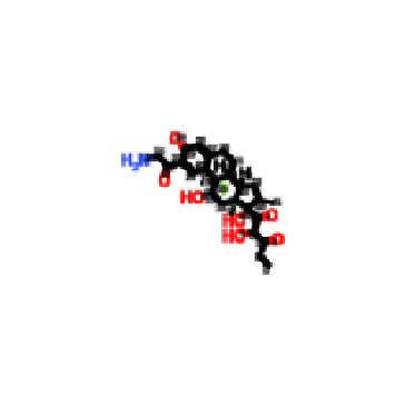 CCC(=O)C(O)C(=O)[C@@]1(O)[C@H](C)C[C@H]2[C@@H]3CCC4=CC(=O)C(C(=O)CN)=C[C@]4(C)[C@@]3(F)[C@@H](O)C[C@@]21C